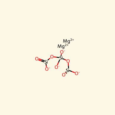 O=[Si]([O-])O[Si]([O-])([O-])O[Si](=O)[O-].[Mg+2].[Mg+2]